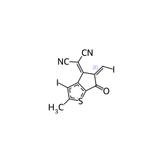 Cc1sc2c(c1I)C(=C(C#N)C#N)/C(=C/I)C2=O